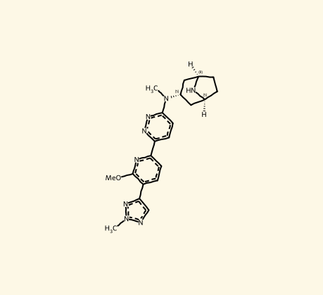 COc1nc(-c2ccc(N(C)[C@@H]3C[C@H]4CC[C@@H](C3)N4)nn2)ccc1-c1cnn(C)n1